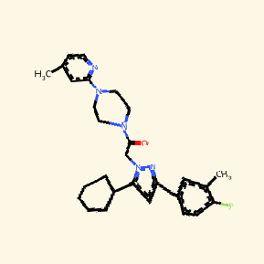 Cc1ccnc(N2CCN(C(=O)Cn3nc(-c4ccc(F)c(C)c4)cc3C3CCCCC3)CC2)c1